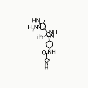 Cc1cc(-c2[nH]nc(C3CCC(NC(=O)C4CNC4)CC3)c2C(C)C)cn(N)c1=N